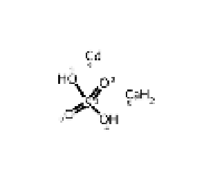 O=S(=O)(O)O.[CaH2].[Cd]